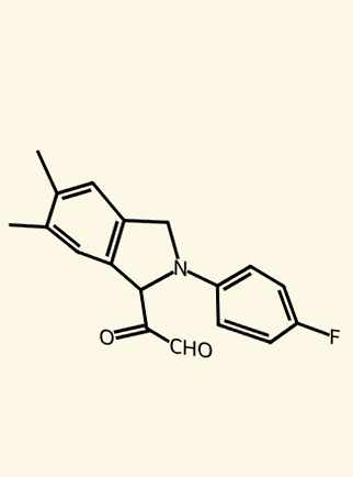 Cc1cc2c(cc1C)C(C(=O)C=O)N(c1ccc(F)cc1)C2